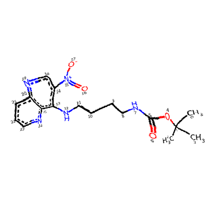 CC(C)(C)OC(=O)NCCCCNc1c([N+](=O)[O-])cnc2cccnc12